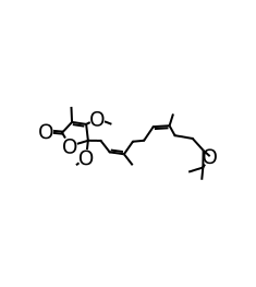 COC1=C(C)C(=O)OC1(CC=C(C)CCC=C(C)CCC1OC1(C)C)OC